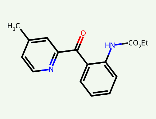 CCOC(=O)Nc1ccccc1C(=O)c1cc(C)ccn1